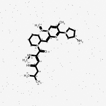 C=NN1C=C(C)C(N2CC[C@H](N)C2)=N/C1=C/C1CCCCN1C(=O)/C(=C/C(=N)CC(C)C)NC